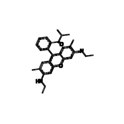 CC/N=c1\cc2oc3cc(NCC)c(C)cc3c(-c3ccccc3C(=O)C(C)C)c-2cc1C